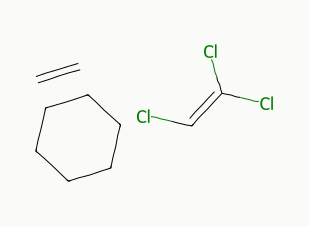 C1CCCCC1.C=C.ClC=C(Cl)Cl